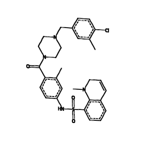 Cc1cc(CN2CCN(C(=O)c3ccc(NS(=O)(=O)c4cccc5c4N(C)CC=C5)cc3C)CC2)ccc1Cl